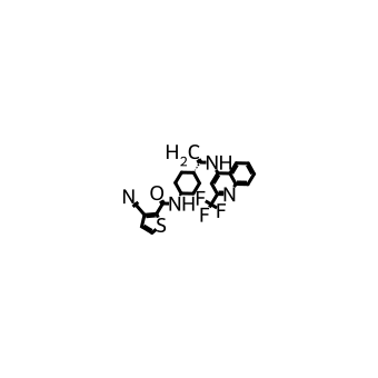 C=C(Nc1cc(C(F)(F)F)nc2ccccc12)[C@H]1CC[C@@H](NC(=O)c2sccc2C#N)CC1